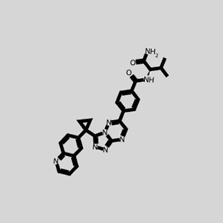 CC(C)[C@H](NC(=O)c1ccc(-c2cnc3nnc(C4(c5ccc6ncccc6c5)CC4)n3n2)cc1)C(N)=O